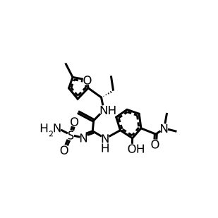 C=C(N[C@@H](CC)c1ccc(C)o1)/C(=N\S(N)(=O)=O)Nc1cccc(C(=O)N(C)C)c1O